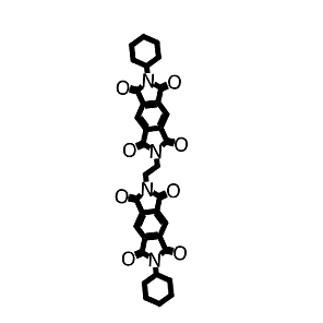 O=c1c2cc3c(=O)n(C4CCCCC4)c(=O)c3cc2c(=O)n1CCn1c(=O)c2cc3c(=O)n(C4CCCCC4)c(=O)c3cc2c1=O